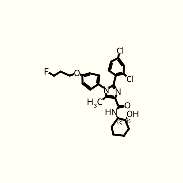 Cc1c(C(=O)N[C@@H]2CCCC[C@@H]2O)nc(-c2ccc(Cl)cc2Cl)n1-c1ccc(OCCCF)cc1